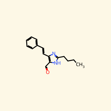 CCCCc1nc(C=Cc2ccccc2)c(C=O)[nH]1